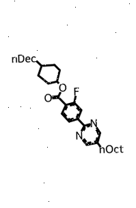 CCCCCCCCCCC1CCC(OC(=O)c2ccc(-c3ncc(CCCCCCCC)cn3)cc2F)CC1